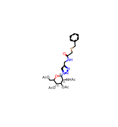 CC(=O)N[C@H]1C(OC(C)=O)[C@H](OC(C)=O)C(COC(C)=O)O[C@H]1n1cc(CNC(=O)CSCc2ccccc2)nn1